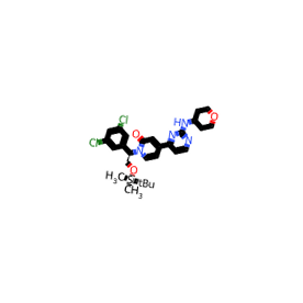 CC(C)(C)[Si](C)(C)OC[C@H](c1cc(Cl)cc(Cl)c1)n1ccc(-c2ccnc(NC3CCOCC3)n2)cc1=O